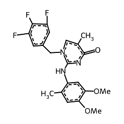 COc1cc(C)c(Nc2nc(=O)c(C)cn2Cc2cc(F)c(F)c(F)c2)cc1OC